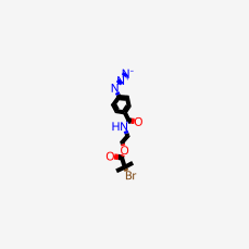 CC(C)(Br)C(=O)OCCNC(=O)c1ccc(N=[N+]=[N-])cc1